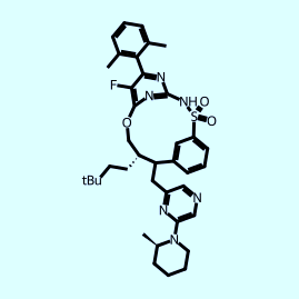 Cc1cccc(C)c1-c1nc2nc(c1F)OC[C@@H](CCC(C)(C)C)C(Cc1cncc(N3CCCC[C@H]3C)n1)c1cccc(c1)S(=O)(=O)N2